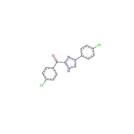 O=C(c1ccc(Cl)cc1)c1nc(-c2ccc(Cl)cc2)c[nH]1